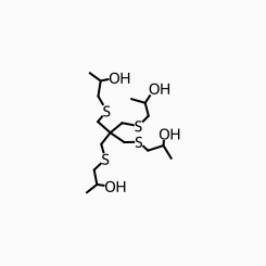 CC(O)CSCC(CSCC(C)O)(CSCC(C)O)CSCC(C)O